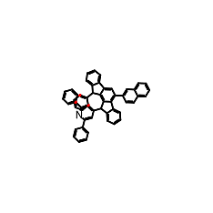 c1ccc(-c2cc(C3c4ccccc4-c4c(-c5ccc6ccccc6c5)cc5c(c43)C(c3ccccc3)c3ccccc3-5)cc(-c3ccccc3)n2)cc1